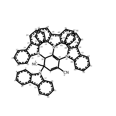 N#CC1=CC(C#N)(n2c3ccccc3c3ccccc32)C(n2c3ccccc3c3ccccc32)C(n2c3ccccc3c3ccccc32)=C1n1c2ccccc2c2ccccc21